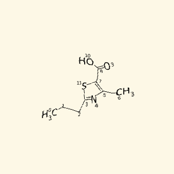 CCCc1nc(C)c(C(=O)O)s1